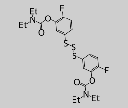 CCN(CC)C(=O)Oc1cc(SSSc2ccc(F)c(OC(=O)N(CC)CC)c2)ccc1F